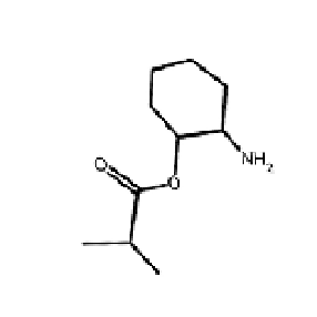 CC(C)C(=O)OC1CCCCC1N